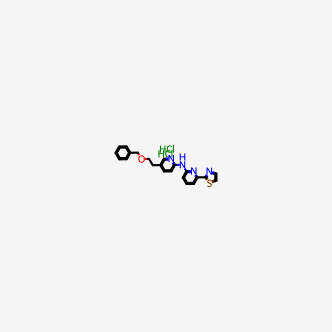 Cl.Cl.c1ccc(COCCc2ccc(Nc3cccc(-c4nccs4)n3)nc2)cc1